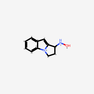 ONC1CCn2c1cc1ccccc12